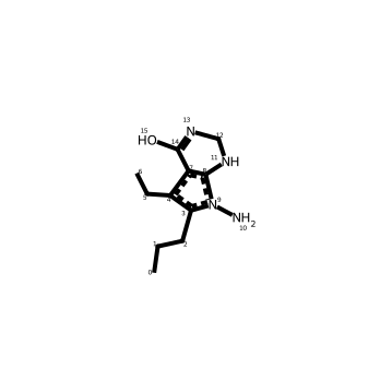 CCCc1c(CC)c2c(n1N)NCN=C2O